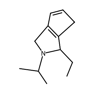 CCC1C2=C(C=CC2)CN1C(C)C